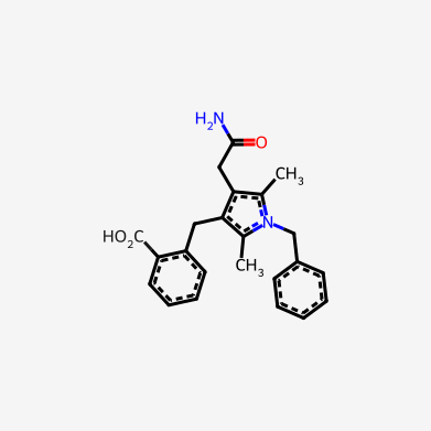 Cc1c(CC(N)=O)c(Cc2ccccc2C(=O)O)c(C)n1Cc1ccccc1